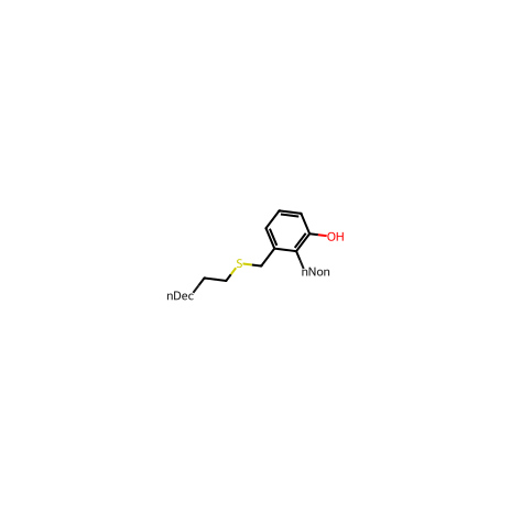 CCCCCCCCCCCCSCc1cccc(O)c1CCCCCCCCC